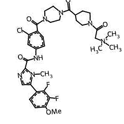 COc1ccc(-c2cnc(C(=O)Nc3ccc(C(=O)N4CCN(C(=O)C5CCN(C(=O)C[N+](C)(C)C)CC5)CC4)c(Cl)c3)n2C)c(F)c1F